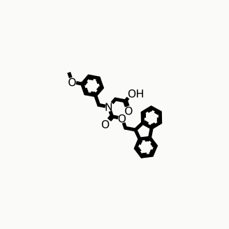 COc1cccc(CN(CC(=O)O)C(=O)OCC2c3ccccc3-c3ccccc32)c1